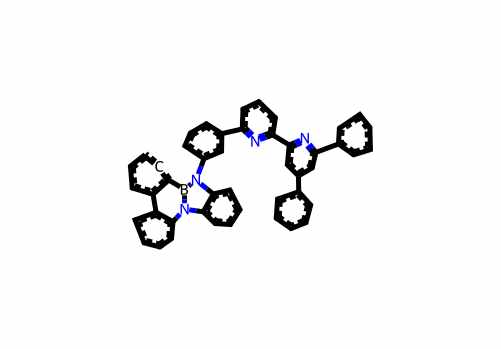 c1ccc(-c2cc(-c3ccccc3)nc(-c3cccc(-c4cccc(N5B6c7ccccc7-c7ccccc7N6c6ccccc65)c4)n3)c2)cc1